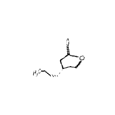 CC[C@H]1COC(=O)C1